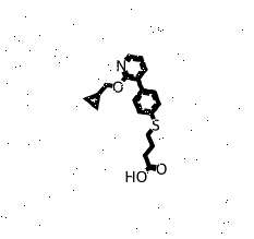 O=C(O)CCCSc1ccc(-c2cccnc2OCC2CC2)cc1